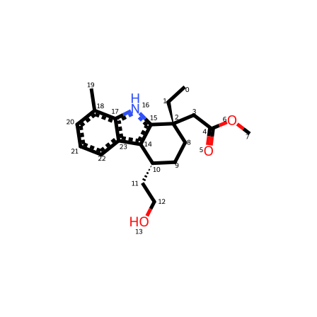 CC[C@@]1(CC(=O)OC)CC[C@H](CCO)c2c1[nH]c1c(C)cccc21